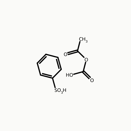 CC(=O)OC(=O)O.O=S(=O)(O)c1ccccc1